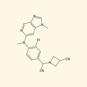 CCc1cc(C(C#N)N2CC(C#N)C2)ccc1N(C)c1cc2c(cn1)ncn2C